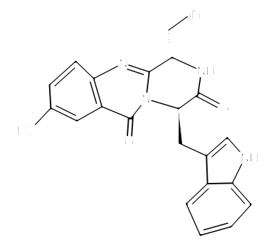 Cc1ccc2nc3n(c(=O)c2c1)[C@H](Cc1c[nH]c2ccccc12)C(=O)N[C@H]3CC(C)C